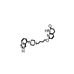 O=C1CCc2ccc(OCCCCN3CCN(C4=CC=CN5SNC=C45)CC3)nc2N1